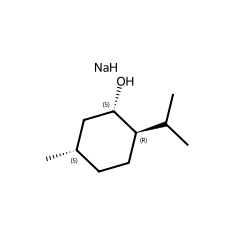 CC(C)[C@H]1CC[C@H](C)C[C@@H]1O.[NaH]